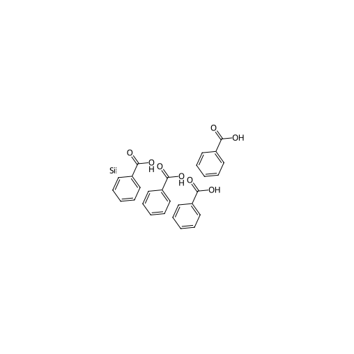 O=C(O)c1ccccc1.O=C(O)c1ccccc1.O=C(O)c1ccccc1.O=C(O)c1ccccc1.[Si]